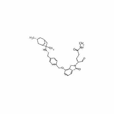 CNC(=O)CCC(C=O)N1Cc2c(OCc3ccc(CCNC4(C)CC5CC(C)CC4C5)cc3)cccc2C1=O